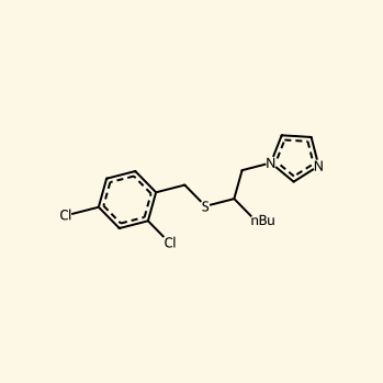 CCCCC(Cn1ccnc1)SCc1ccc(Cl)cc1Cl